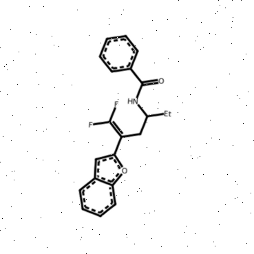 CCC(CC(=C(F)F)c1cc2ccccc2o1)NC(=O)c1ccccc1